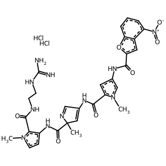 Cl.Cl.Cn1cc(NC(=O)c2cc3c([N+](=O)[O-])cccc3o2)cc1C(=O)NC1=CC(C)(C(=O)Nc2ccn(C)c2C(=O)NCCNC(=N)N)N=C1